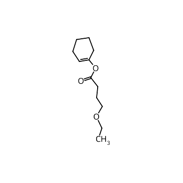 CCOCCCC(=O)OC1=CCCCC1